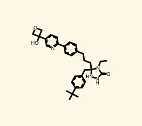 CCN1C(=O)NNC1(CCCc1ccc(-c2ccc(C3(O)COC3)cn2)cc1)Cc1ccc(C(C)(C)C)cc1